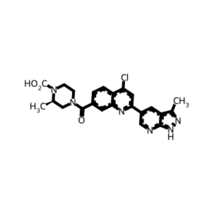 Cc1n[nH]c2ncc(-c3cc(Cl)c4ccc(C(=O)N5CCN(C(=O)O)[C@H](C)C5)cc4n3)cc12